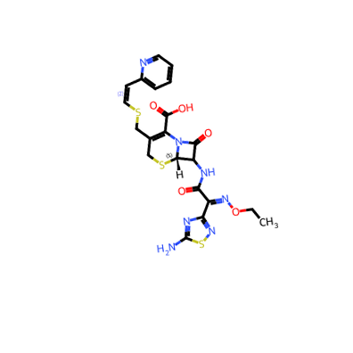 CCON=C(C(=O)NC1C(=O)N2C(C(=O)O)=C(CS/C=C\c3ccccn3)CS[C@@H]12)c1nsc(N)n1